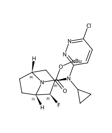 CCCCOC(=O)N1[C@@H]2CC[C@H]1[C@H](F)[C@H](N(c1ccc(Cl)nn1)C1CC1)C2